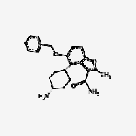 Cc1oc2ccc(OCc3ccccc3)c([C@H]3CC[C@@H](N)CC3)c2c1C(N)=O